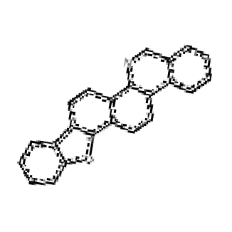 c1ccc2c(c1)cnc1c2ccc2c1ccc1c3ccccc3oc12